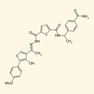 COc1ccc(-c2scc(/C(C)=N/NC(=O)c3ccc(C(=O)NC(C)c4ccc(C(N)=O)cc4)s3)c2O)cc1